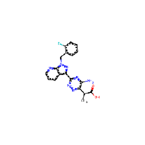 CC(C(=O)O)c1nnc(-c2nn(Cc3ccccc3F)c3ncccc23)nc1N